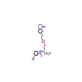 O=C(N[C@@H](CCOC1CC(CCc2ccc3c(n2)NCCC3)C1)C(=O)O)c1cccc(C2CC2)c1